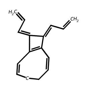 C=CC=C1C(=CC=C)C2=C1/C=C\CC/C=C\2